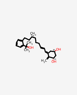 C=C1C(=CC=CCCC[C@@H](C)CCc2ccccc2C(C)(C)O)C[C@@H](O)C[C@@H]1O